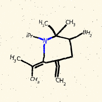 BC1CC(=C)C(=C(C)C)N(C(C)C)C1(C)C